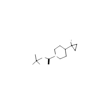 CC(C)(C)OC(=O)N1CCC(C2(N)CC2)CC1